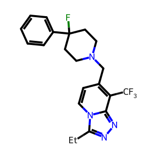 CCc1nnc2c(C(F)(F)F)c(CN3CCC(F)(c4ccccc4)CC3)ccn12